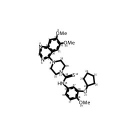 COc1cc2ncnc(N3CCN(C(=S)Nc4ccc(OC)c(OC5CCCC5)c4)CC3)c2cc1OC